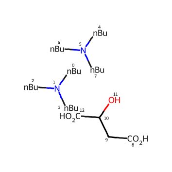 CCCCN(CCCC)CCCC.CCCCN(CCCC)CCCC.O=C(O)CC(O)C(=O)O